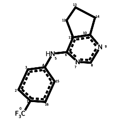 FC(F)(F)c1ccc(Nc2ncnc3c2CCC3)cc1